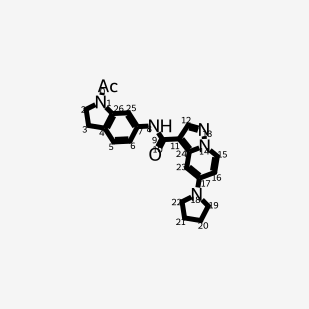 CC(=O)N1CCc2ccc(NC(=O)c3cnn4ccc(N5CCCC5)cc34)cc21